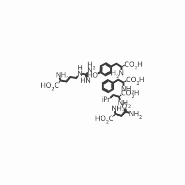 CC(C)C[C@H](N)C(=O)O.N=C(N)NCCC[C@H](N)C(=O)O.NC(=O)C[C@H](N)C(=O)O.N[C@@H](Cc1ccc(O)cc1)C(=O)O.N[C@@H](Cc1ccccc1)C(=O)O